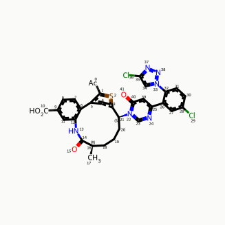 CC(=O)c1sc2cc1-c1ccc(C(=O)O)cc1NC(=O)[C@H](C)CCC[C@@H]2n1cnc(-c2cc(Cl)ccc2-n2cc(Cl)nn2)cc1=O